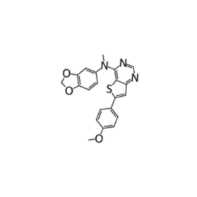 COc1ccc(-c2cc3ncnc(N(C)c4ccc5c(c4)OCO5)c3s2)cc1